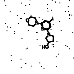 OC1CCN(c2cc(I)cc(N3CCOCC3)n2)C1